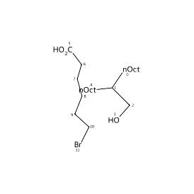 CCCCCCCCC(CO)CCCCCCCC.O=C(O)CCCCCBr